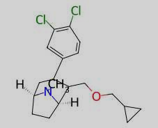 CN1[C@H]2CC[C@@H]1C(COCC1CC1)C(c1ccc(Cl)c(Cl)c1)C2